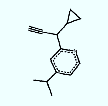 C#CC(c1cc(C(C)C)ccn1)C1CC1